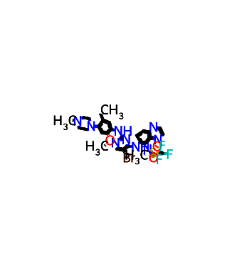 CCc1cc(Nc2ncc(Br)c(Nc3ccc4nccnc4c3N(C)S(=O)(=O)C(F)(F)F)n2)c(OC)cc1N1CCN(C)CC1